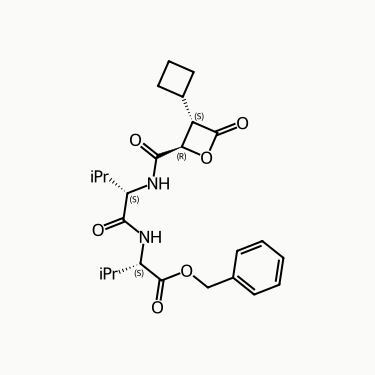 CC(C)[C@H](NC(=O)[C@@H]1OC(=O)[C@H]1C1CCC1)C(=O)N[C@H](C(=O)OCc1ccccc1)C(C)C